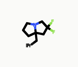 CC(C)CC12CCCN1CC(F)(F)C2